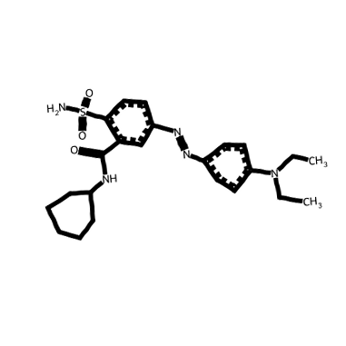 CCN(CC)c1ccc(/N=N/c2ccc(S(N)(=O)=O)c(C(=O)NC3CCCCC3)c2)cc1